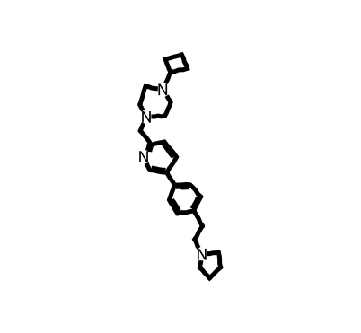 c1cc(-c2ccc(CN3CCN(C4CCC4)CC3)nc2)ccc1CCN1CCCC1